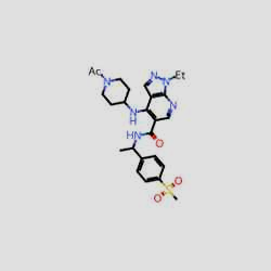 CCn1ncc2c(NC3CCN(C(C)=O)CC3)c(C(=O)NC(C)c3ccc(S(C)(=O)=O)cc3)cnc21